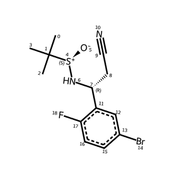 CC(C)(C)[S@@+]([O-])N[C@H](CC#N)c1cc(Br)ccc1F